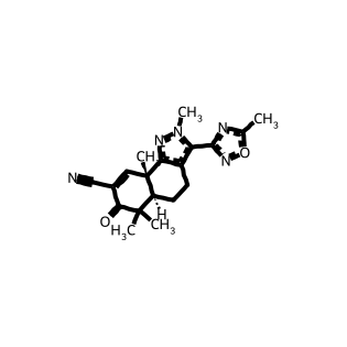 Cc1nc(-c2c3c(nn2C)[C@@]2(C)C=C(C#N)C(=O)C(C)(C)[C@@H]2CC3)no1